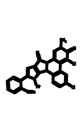 COc1ccccc1-c1cc2c(n1C(C)C)C1c3ccc(Cl)cc3-c3c(cn(C)c(=O)c3Cl)N1C2=O